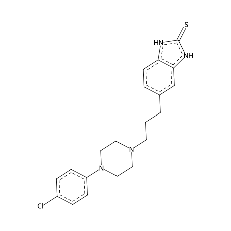 S=c1[nH]c2ccc(CCCN3CCN(c4ccc(Cl)cc4)CC3)cc2[nH]1